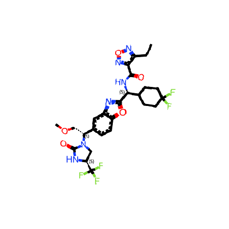 CCc1nonc1C(=O)N[C@H](c1nc2cc([C@@H](COC)N3C[C@@H](C(F)(F)F)NC3=O)ccc2o1)C1CCC(F)(F)CC1